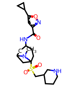 CN1C2CC(NC(=O)c3cc(C4CC4)on3)CCC1(S(=O)(=O)CC1CCCNC1)C2